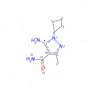 Cc1nn(C2CCC2)c(N)c1C(N)=O